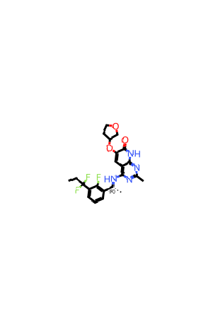 CCC(F)(F)c1cccc([C@@H](C)Nc2nc(C)nc3[nH]c(=O)c(OC4CCOC4)cc23)c1F